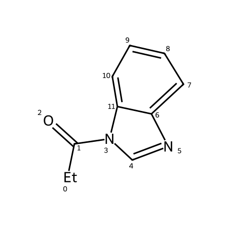 CCC(=O)n1cnc2ccccc21